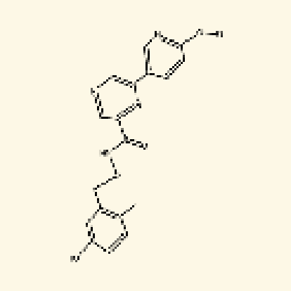 CCOc1ccc(-c2cncc(C(=O)NOCc3cc(O)ccc3F)n2)cn1